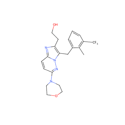 Cc1c(Cc2c(CCO)nc3ccc(N4CCOCC4)nn23)cccc1C(F)(F)F